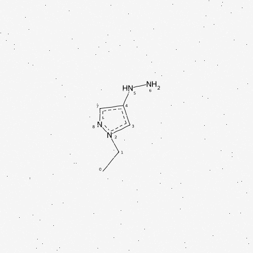 CCn1cc(NN)cn1